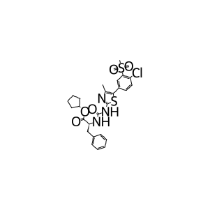 Cc1nc(NC(=O)N[C@@H](Cc2ccccc2)C(=O)OC2CCCC2)sc1-c1ccc(Cl)c(S(C)(=O)=O)c1